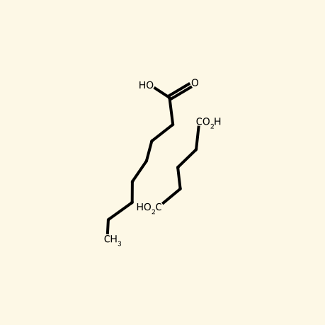 CCCCCCCC(=O)O.O=C(O)CCCC(=O)O